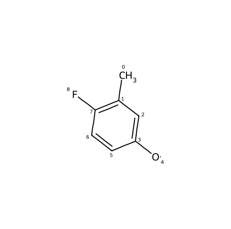 Cc1cc([O])ccc1F